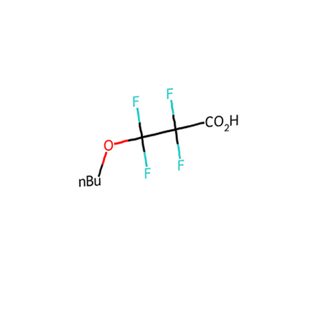 CCCCOC(F)(F)C(F)(F)C(=O)O